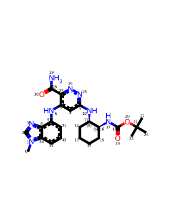 Cn1cnc2c(Nc3cc(N[C@@H]4CCCC[C@@H]4NC(=O)OC(C)(C)C)nnc3C(N)=O)cccc21